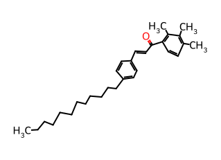 CCCCCCCCCCCCc1ccc(C=CC(=O)c2ccc(C)c(C)c2C)cc1